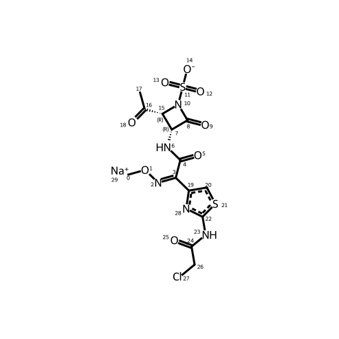 CON=C(C(=O)N[C@H]1C(=O)N(S(=O)(=O)[O-])[C@H]1C(C)=O)c1csc(NC(=O)CCl)n1.[Na+]